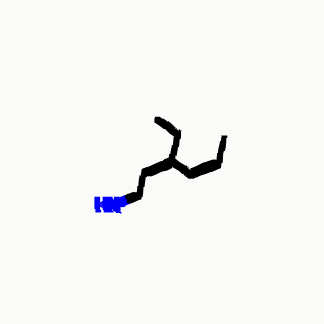 C/C=C\C(=C/C=N)CC